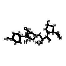 C=C(C(N)CN1C[C@@H]2CC1C(=O)N2c1ccc(F)cc1)N1CC(C)CC1C#N